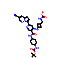 COC(=O)NCC1CC(Nc2cc(-c3ccc4cc(C#N)cnn34)ncc2C(=O)NC2CCC(NC(=O)OC(C)(C)C)CC2)C1